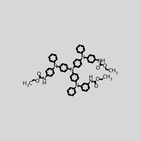 CCOC(=O)Nc1ccc(N(c2ccccc2)c2ccc(N(c3ccc(N(c4ccccc4)c4ccc(NC(=O)OCC)cc4)cc3)c3ccc(N(c4ccccc4)c4cccc(NC(=O)OCC)c4)cc3)cc2)cc1